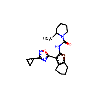 O=C(O)C1CCCCN1C(=O)Nc1sc2c(c1-c1nc(C3CC3)no1)CCCC2